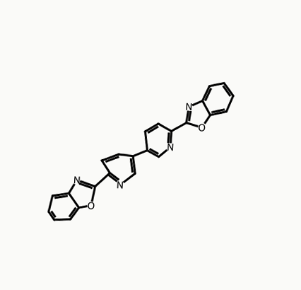 c1ccc2oc(-c3ccc(-c4ccc(-c5nc6ccccc6o5)nc4)cn3)nc2c1